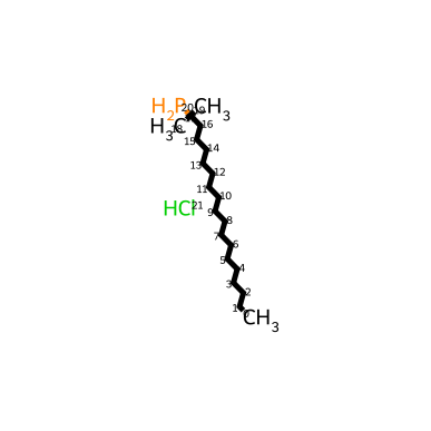 CCCCCCCCCCCCCCCCCC(C)(C)P.Cl